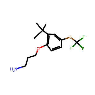 CC(C)(C)c1cc(SC(F)(F)F)ccc1OCCCN